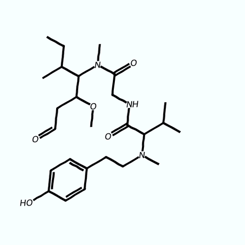 CCC(C)C(C(CC=O)OC)N(C)C(=O)CNC(=O)C(C(C)C)N(C)CCc1ccc(O)cc1